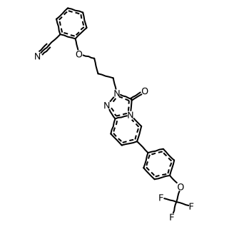 N#Cc1ccccc1OCCCn1nc2ccc(-c3ccc(OC(F)(F)F)cc3)cn2c1=O